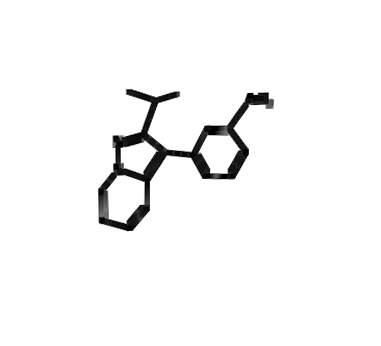 CC(C)c1nn2ccccc2c1-c1cccc([AsH2])c1